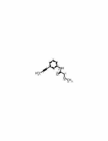 CC#Cc1cccc(NC(=O)COC)c1